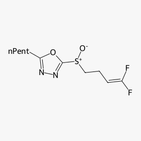 CCCCCc1nnc([S+]([O-])CCC=C(F)F)o1